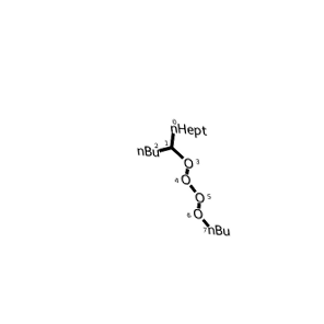 CCCCCCCC(CCCC)OOOOCCCC